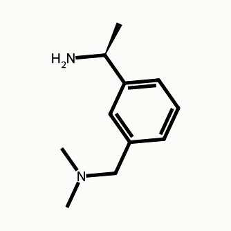 C[C@H](N)c1cccc(CN(C)C)c1